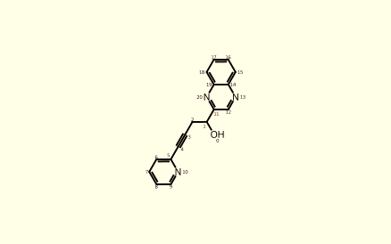 OC(CC#Cc1ccccn1)c1cnc2ccccc2n1